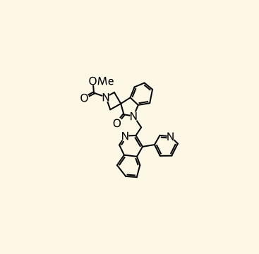 COC(=O)N1CC2(C1)C(=O)N(Cc1ncc3ccccc3c1-c1cccnc1)c1ccccc12